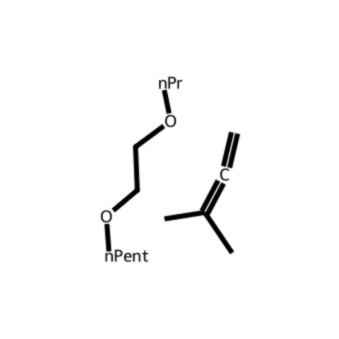 C=C=C(C)C.CCCCCOCCOCCC